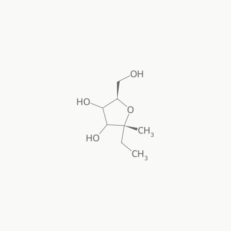 CC[C@@]1(C)O[C@H](CO)C(O)C1O